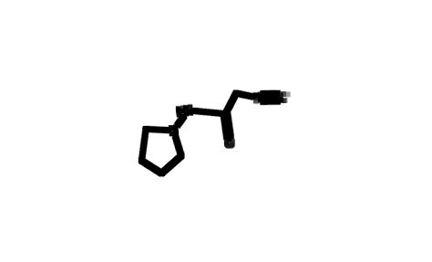 [C-]#[N+]CC(=O)NN1CCCC1